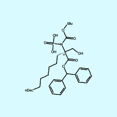 CCCCCCCCCCCCCCCC[C@](CO)(C(=O)OC(c1ccccc1)c1ccccc1)N(C(=O)OC(C)(C)C)P(=O)(O)O